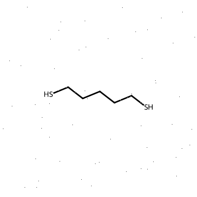 S[CH]CCCCS